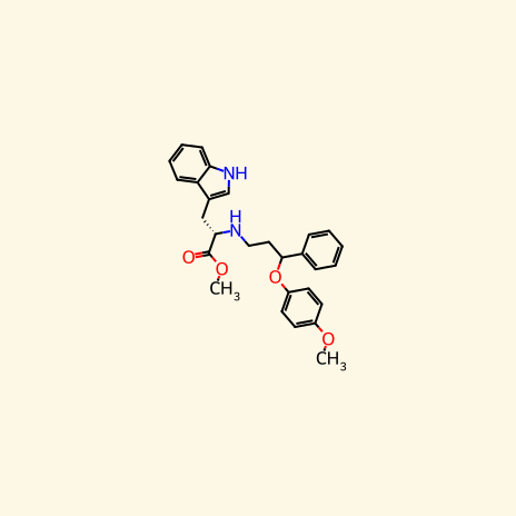 COC(=O)[C@H](Cc1c[nH]c2ccccc12)NCCC(Oc1ccc(OC)cc1)c1ccccc1